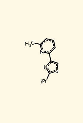 Cc1cccc(-c2csc(C(C)C)n2)n1